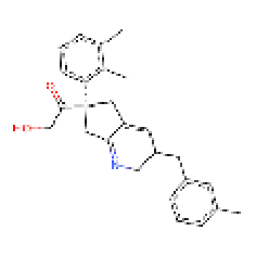 Cc1cccc(CC2C=C3C[C@@](C(=O)CO)(c4cccc(C)c4C)CC3=NC2)c1